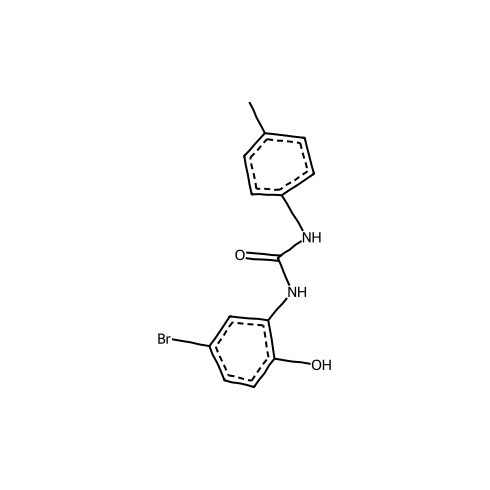 Cc1ccc(NC(=O)Nc2cc(Br)ccc2O)cc1